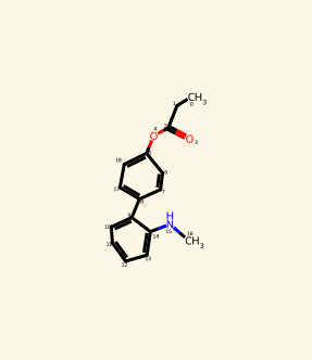 CCC(=O)Oc1ccc(-c2ccccc2NC)cc1